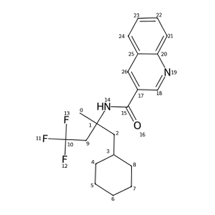 CC(CC1CCCCC1)(CC(F)(F)F)NC(=O)c1cnc2ccccc2c1